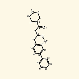 CC(=O)SC(CC(=O)N1CCOCC1)Cc1ccc(-c2ccccc2)cc1